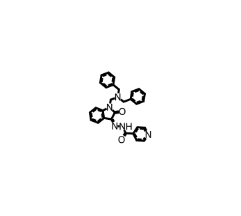 O=C(NN=C1C(=O)N(CN(Cc2ccccc2)Cc2ccccc2)c2ccccc21)c1ccncc1